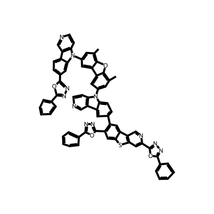 Cc1cc(-n2c3ccncc3c3cc(-c4cc5c(cc4-c4nnc(-c6ccccc6)o4)sc4cc(-c6nnc(-c7ccccc7)o6)ncc45)ccc32)cc2c1oc1c(C)cc(-n3c4ccncc4c4ccc(-c5nnc(-c6ccccc6)o5)cc43)cc12